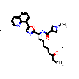 CCC(=O)CCCCC[C@H](NC(=O)C1CN(C)C1)c1ncc(-c2cccc3cccnc23)o1